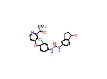 CNC(=O)c1cc(Oc2ccc(NC(=O)Nc3ccc4c(c3)CCC4=O)cc2Cl)ccn1